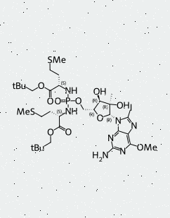 COc1nc(N)nc2c1nc(I)n2[C@@H]1O[C@H](COP(=O)(N[C@@H](CCSC)C(=O)OCC(C)(C)C)N[C@@H](CCSC)C(=O)OCC(C)(C)C)[C@@H](O)[C@@]1(C)O